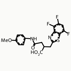 COc1ccc(NC(=O)CC(Cc2nc3c(F)c(F)cc(F)c3s2)C(=O)O)cc1